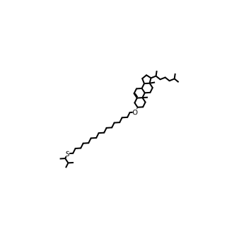 CC(C)CCCC(C)C1CCC2C3CC=C4C[C@@H](OCCCCCCCCCCCCCCCCSC(C)C(C)C)CCC4(C)C3CCC12C